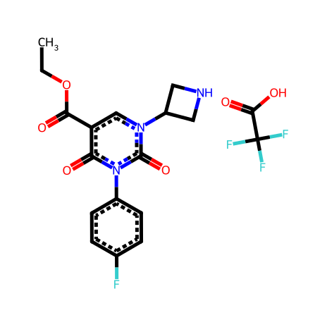 CCOC(=O)c1cn(C2CNC2)c(=O)n(-c2ccc(F)cc2)c1=O.O=C(O)C(F)(F)F